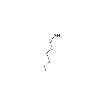 CCCCOO[SiH3]